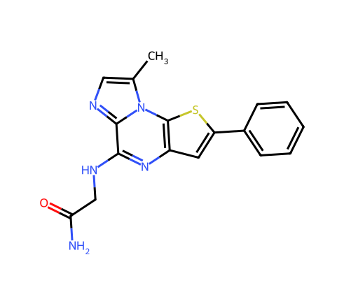 Cc1cnc2c(NCC(N)=O)nc3cc(-c4ccccc4)sc3n12